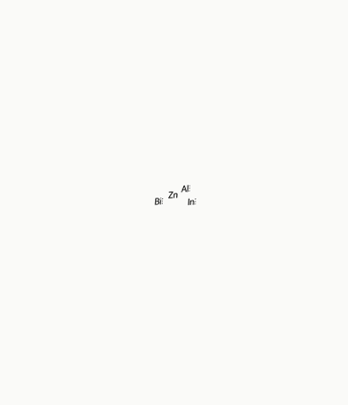 [Al].[Bi].[In].[Zn]